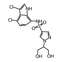 O=S(=O)(Nc1ccc(Cl)c2c(Cl)c[nH]c12)c1cnn(C(CO)CO)c1